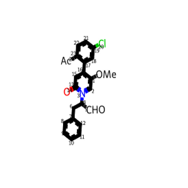 COc1cn(C(C=O)Cc2ccccc2)c(=O)cc1-c1cc(Cl)ccc1C(C)=O